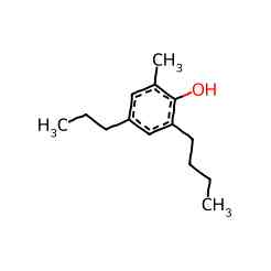 CCCCc1cc(CCC)cc(C)c1O